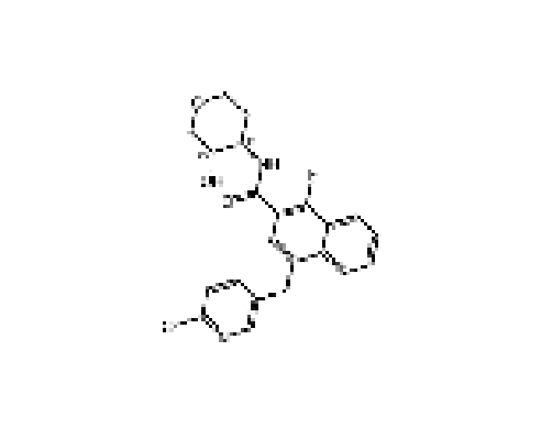 O=C(N[C@@H]1CCOC[C@H]1O)c1cc(Cc2ccc(Cl)nc2)c2ccccc2c1F